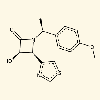 COc1ccc([C@H](C)N2C(=O)[C@H](O)[C@@H]2c2cscn2)cc1